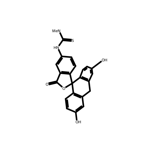 CNC(=S)Nc1ccc2c(c1)C(=O)OC21c2ccc(O)cc2Cc2cc(O)ccc21